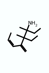 C=C(/C=C\C)C(C)(CC)C(C)(N)CC